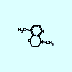 Cc1ccnc2c1OCCN2C